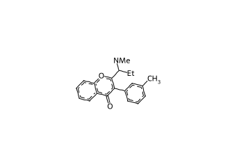 CCC(NC)c1oc2ccccc2c(=O)c1-c1cccc(C)c1